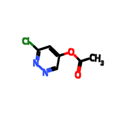 CC(=O)Oc1cnnc(Cl)c1